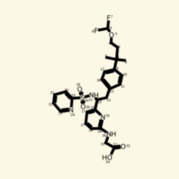 CC(C)(CCOC(F)F)c1ccc(CC(NS(=O)(=O)c2ccccn2)c2cccc(NCC(=O)O)n2)cc1